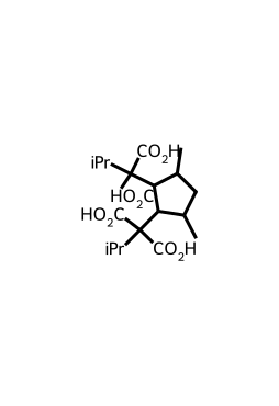 CC1CC(C)C(C(C(=O)O)(C(=O)O)C(C)C)C1C(C(=O)O)(C(=O)O)C(C)C